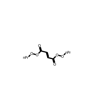 CCCOOC(=O)/C=C/C(=O)OOCCC